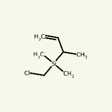 C=CC(C)[Si](C)(C)CCl